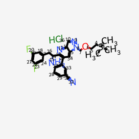 C[Si](C)(C)CCOCn1ncc2nc([C@@H](N)Cc3cc(F)cc(F)c3)c(-c3cccc(C#N)c3)cc21.Cl